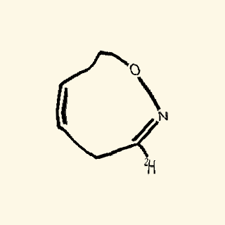 [2H]C1=NOCC=CC1